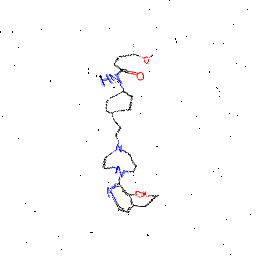 CO[C@@H](C)CC(=O)NC1CCC(CCN2CCN(c3nccc4c3OCC4)CC2)CC1